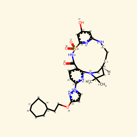 CC1(C)C[C@@H]2CCCNc3cc(O)cc(n3)S(=O)(=O)NC(=O)c3ccc(-n4ccc(OCCC5CCCCCC5)n4)nc3N1C2